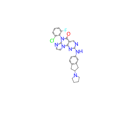 O=c1c2cnc(Nc3ccc4c(c3)CC(N3CCCC3)C4)nc2n2ccnc2n1-c1c(F)cccc1Cl